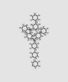 c1ccc(-c2ccc(-c3ccc(-n4c5ccccc5c5c4ccc4c6ccccc6n(-c6cc(-c7ccccc7)cc(-c7ccccc7)c6)c45)cc3)cc2)cc1